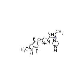 C=C/C=C(\C(N)c1cc(Oc2cc(F)c3[nH]c(C)cc3c2F)ncn1)N1CCNCC1